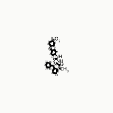 CN1C(=O)C(NC(=S)Nc2ccc(Oc3ccc([N+](=O)[O-])cc3)cc2)N=C(c2ccccc2)c2ccccc21